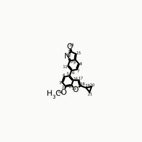 COc1ccc(-c2ccc3c(c2)=NC(=O)C=3)c2cc(C3CC3)oc12